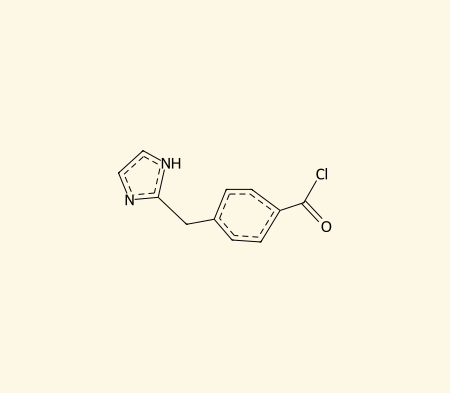 O=C(Cl)c1ccc(Cc2ncc[nH]2)cc1